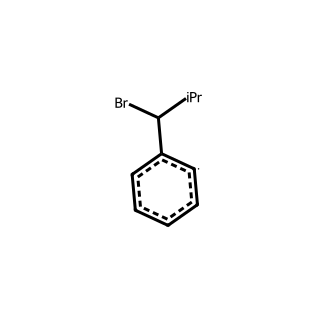 CC(C)C(Br)c1[c]cccc1